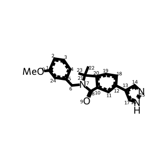 COc1cccc(CN2C(=O)c3cc(-c4cn[nH]c4)ccc3C2(C)C)c1